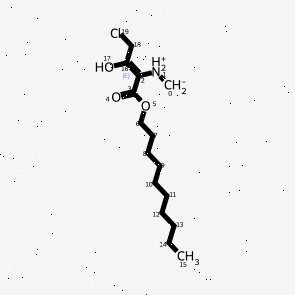 [CH2-][NH2+]/C(C(=O)OCCCCCCCCCC)=C(/O)CCl